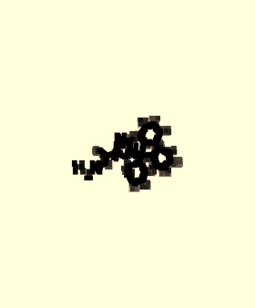 CC(CN)c1cn(C(c2ccccc2)(c2ccccc2)c2ccccc2)cn1